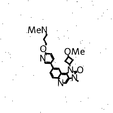 CNCCCOc1ccc(-c2ccc3ncc4c(c3c2)n(C2CC(OC)C2)c(=O)n4C)cn1